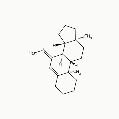 C[C@@]12CCC[C@H]1[C@@H]1C(=NO)C=C3CCCC[C@]3(C)[C@H]1CC2